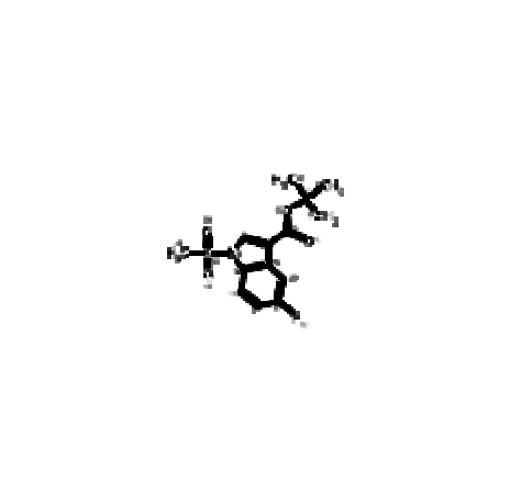 CC(C)(C)OC(=O)c1cn(S(C)(=O)=O)c2ccc(F)cc12